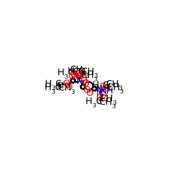 CC(C)(C)OC(=O)CC(C(=O)OC(C)(C)C)N(Cc1cc(O)cc(C(=O)OCC[Si](C)(C)C)c1)C(=O)c1cccc2c1OCCCc1cc(NC(=NC(=O)OC(C)(C)C)NC(=O)OC(C)(C)C)ccc1C(=O)O2